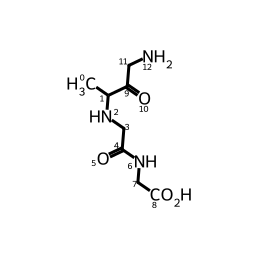 CC(NCC(=O)NCC(=O)O)C(=O)CN